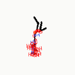 CCCCCCCC/C=C\CCCCCCCC(=O)O[C@H](COC(=O)C(/C=C/CCCCCCCC)CCCCCC)COP(C)(=O)OCCNC(=O)CCCCC(=O)NCCCO[C@@H]1OC(CO)[C@H](O)[C@H](O[C@@H]2OC(CO)[C@H](O)[C@H](O)C2NC(C)=O)C1O[C@@H]1OC(C)[C@@H](O)[C@H](O)C1O